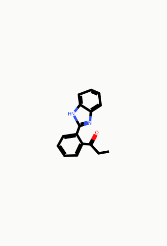 CCC(=O)c1ccccc1-c1nc2ccccc2[nH]1